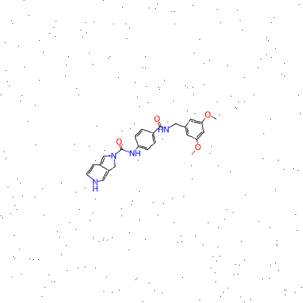 COc1cc(CNC(=O)c2ccc(NC(=O)N3C=C4C=CNC=C4C3)cc2)cc(OC)c1